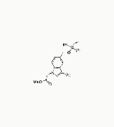 COC(=O)Cn1cc(C(C)=O)c2cc(CO[Si](C(C)C)(C(C)C)C(C)C)ccc21